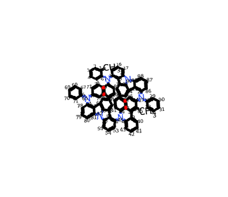 Cc1ccccc1N(c1ccccc1)c1cccc2c1c1cccc3c4c(N(c5ccccc5)c5cccc(-c6ccccc6N(c6ccccc6)c6cccc7c6c6cccc8c9c(N(c%10ccccc%10)c%10ccccc%10)cccc9n7c86)c5C)cccc4n2c13